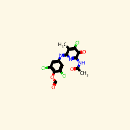 CC(=O)NC1=NC(=Nc2cc(Cl)c(OC=O)c(Cl)c2)C(C)=C(Cl)C1=O